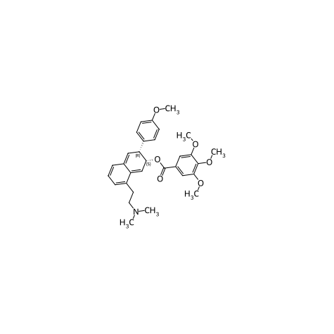 COc1ccc([C@H]2C=c3cccc(CCN(C)C)c3=C[C@H]2OC(=O)c2cc(OC)c(OC)c(OC)c2)cc1